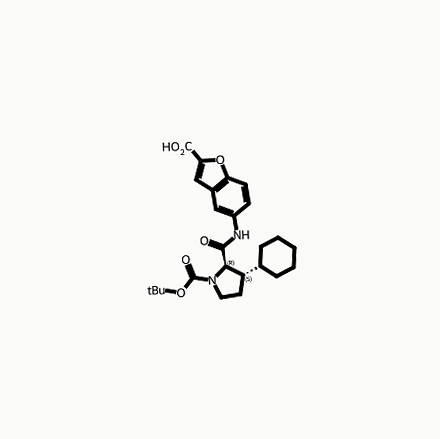 CC(C)(C)OC(=O)N1CC[C@@H](C2CCCCC2)[C@@H]1C(=O)Nc1ccc2oc(C(=O)O)cc2c1